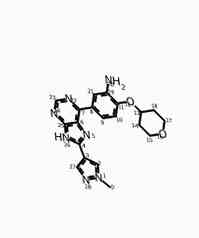 Cn1cc(-c2nc3c(-c4ccc(OC5CCOCC5)c(N)c4)ncnc3[nH]2)cn1